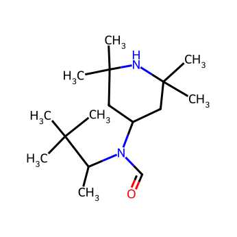 CC(N(C=O)C1CC(C)(C)NC(C)(C)C1)C(C)(C)C